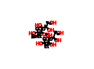 CCC(O)(C(=O)[O-])C(O)C(O)C(O)CO.CCC(O)(C(=O)[O-])C(O)C(O)C(O)CO.[Ba+2]